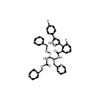 O=C(N[C@H](COCc1ccccc1)[C@H](Cc1ccccn1)NC(=O)c1cccc(F)c1-c1cc(-c2ccc(F)cc2)[nH]n1)OCc1ccccc1